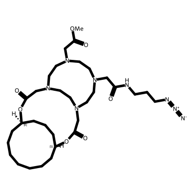 COC(=O)CN1CCN(CC(=O)NCCCN=[N+]=[N-])CCN2CCN(CC1)CC(=O)O[C@@H]1CCCCCCC[C@@H](CCC1)OC(=O)C2